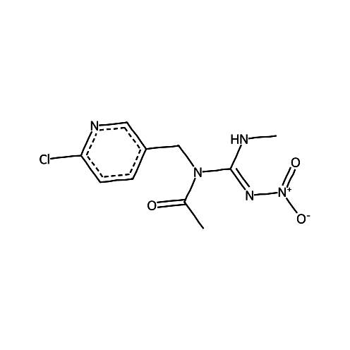 CN/C(=N\[N+](=O)[O-])N(Cc1ccc(Cl)nc1)C(C)=O